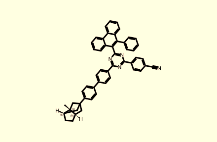 C[C@@]12CC3(c4ccc(-c5ccc(-c6nc(-c7ccc(C#N)cc7)nc(-c7c(-c8ccccc8)c8ccccc8c8ccccc78)n6)cc5)cc4)C[C@H]1CC[C@H]2C3